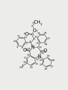 CCOC(=O)CC(c1ccccc1)N1C(=O)c2cc(I)ccc2N(c2ccccc2)C(=O)C1c1ccccc1